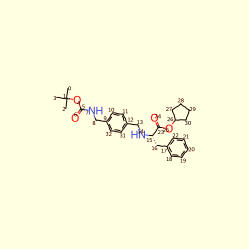 CC(C)(C)OC(=O)NCc1ccc(CN[C@@H](Cc2ccccc2)C(=O)OC2CCCC2)cc1